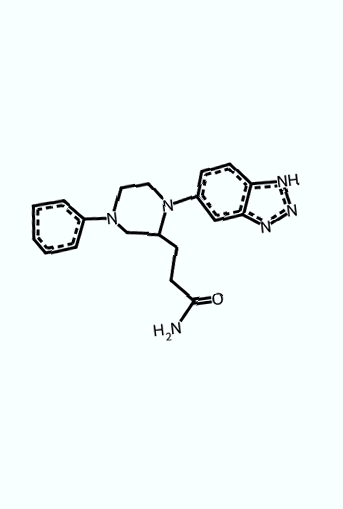 NC(=O)CCC1CN(c2ccccc2)CCN1c1ccc2[nH]nnc2c1